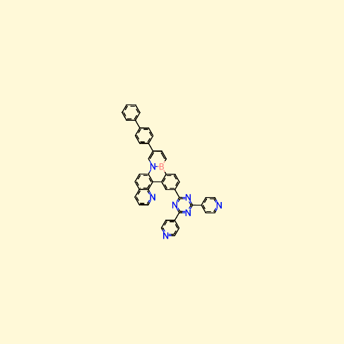 C1=CC(c2ccc(-c3ccccc3)cc2)=CN2B1c1ccc(-c3nc(-c4ccncc4)nc(-c4ccncc4)n3)cc1-c1c2ccc2cccnc12